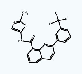 Cc1nnc(NC(=O)c2cccc3ccc(-c4cccc(C(F)(F)F)c4)nc23)s1